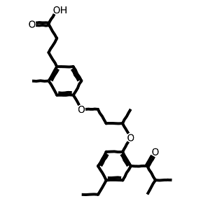 CCc1ccc(OC(C)CCOc2ccc(CCC(=O)O)c(C)c2)c(C(=O)C(C)C)c1